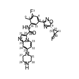 Cc1c(F)cc(-c2noc([C@@H]3C[C@H]3F)n2)cc1NC(=O)c1cnc2cc(N3CCNCC3)ccn12